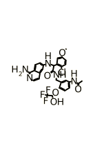 COc1ccc(Cl)c(C(Nc2ccc3c(N)nccc3c2)C(=O)NCc2cccc(NC(C)=O)c2)c1.O=C(O)C(F)(F)F